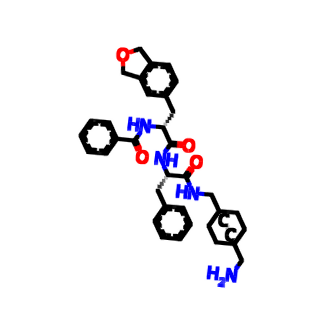 NCC12CCC(CNC(=O)[C@H](Cc3ccccc3)NC(=O)[C@@H](Cc3ccc4c(c3)COC4)NC(=O)c3ccccc3)(CC1)CC2